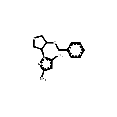 Nc1cc(C(F)(F)F)n(C2COCC2OCc2ccccc2)n1